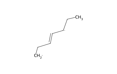 [CH2]CC=C[CH]CC